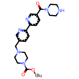 CC(C)(C)OC(=O)N1CCN(Cc2ccc(-c3ccc(C(=O)N4CCNCC4)cn3)nc2)CC1